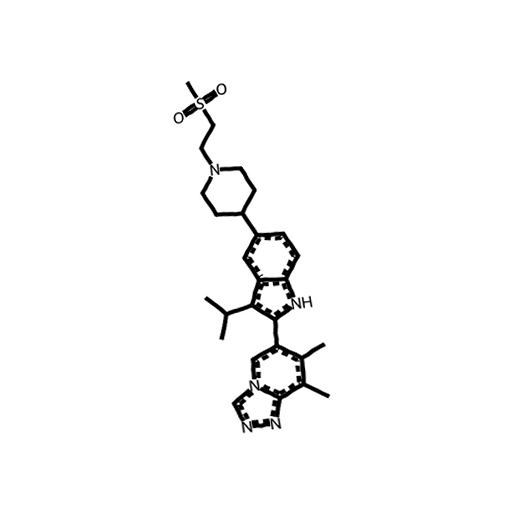 Cc1c(-c2[nH]c3ccc(C4CCN(CCS(C)(=O)=O)CC4)cc3c2C(C)C)cn2cnnc2c1C